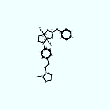 C[C@@H]1CCCN1CCc1ccc([C@H]2CC[C@@H]3CN(Cc4ccccc4)C[C@@H]32)cc1